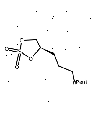 CCCCCCCC[C@@H]1COS(=O)(=O)O1